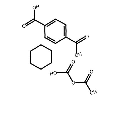 C1CCCCC1.O=C(O)OC(=O)O.O=C(O)c1ccc(C(=O)O)cc1